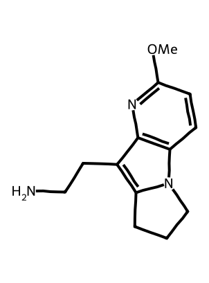 COc1ccc2c(n1)c(CCN)c1n2CCC1